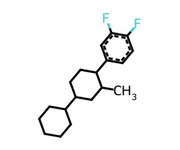 CC1CC(C2CCCCC2)CCC1c1ccc(F)c(F)c1